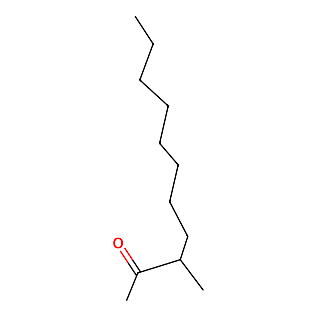 CCCCCCCCC(C)C(C)=O